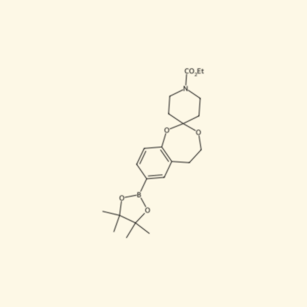 CCOC(=O)N1CCC2(CC1)OCCc1cc(B3OC(C)(C)C(C)(C)O3)ccc1O2